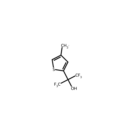 [CH2]c1csc(C(O)(C(F)(F)F)C(F)(F)F)c1